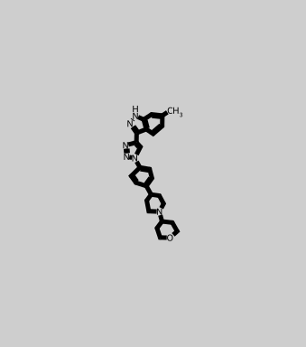 Cc1ccc2c(-c3cn(-c4ccc(C5CCN(C6CCOCC6)CC5)cc4)nn3)n[nH]c2c1